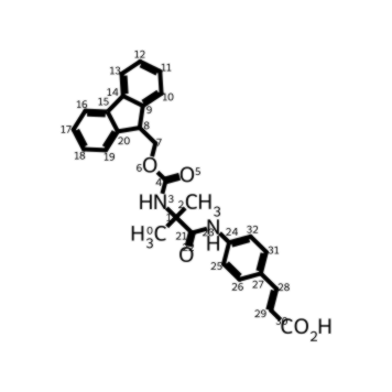 CC(C)(NC(=O)OCC1c2ccccc2-c2ccccc21)C(=O)Nc1ccc(C=CC(=O)O)cc1